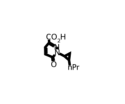 CCCC1CC1n1nc(C(=O)O)ccc1=O